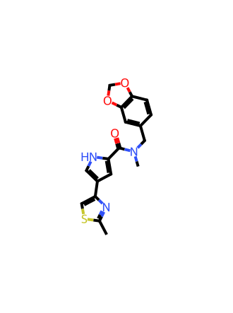 Cc1nc(-c2c[nH]c(C(=O)N(C)Cc3ccc4c(c3)OCO4)c2)cs1